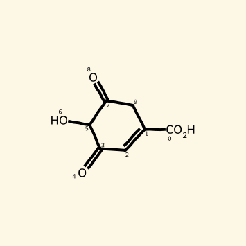 O=C(O)C1=CC(=O)C(O)C(=O)C1